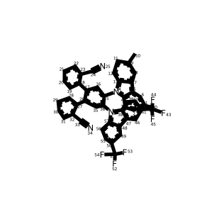 Cc1ccc2c(c1)c1cc(C)ccc1n2-c1cc(-c2ccccc2C#N)c(-c2ccccc2C#N)cc1-n1c2ccc(C(F)(F)F)cc2c2cc(C(F)(F)F)ccc21